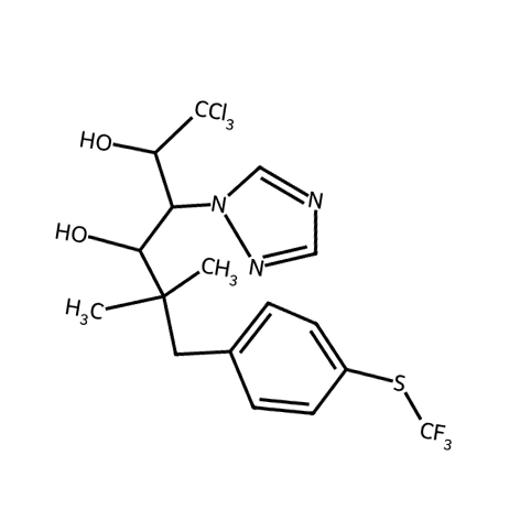 CC(C)(Cc1ccc(SC(F)(F)F)cc1)C(O)C(C(O)C(Cl)(Cl)Cl)n1cncn1